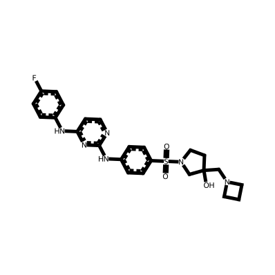 O=S(=O)(c1ccc(Nc2nccc(Nc3ccc(F)cc3)n2)cc1)N1CCC(O)(CN2CCC2)C1